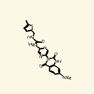 CNc1ccc2c(=O)n(-c3cnc(NC(=O)NCc4ccc(C)s4)cn3)c(=O)[nH]c2c1